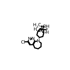 CB(O)N1[C@H]2C[C@@H](N3CCCCc4cc(Cl)nnc43)C[C@@H]1C(F)(F)C2